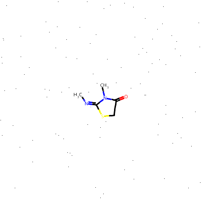 C/N=C1/SCC(=O)N1C